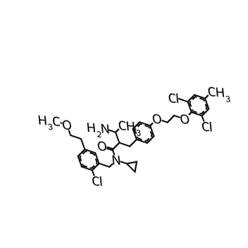 COCCc1ccc(Cl)c(CN(C(=O)C(Cc2ccc(OCCOc3c(Cl)cc(C)cc3Cl)cc2)C(C)N)C2CC2)c1